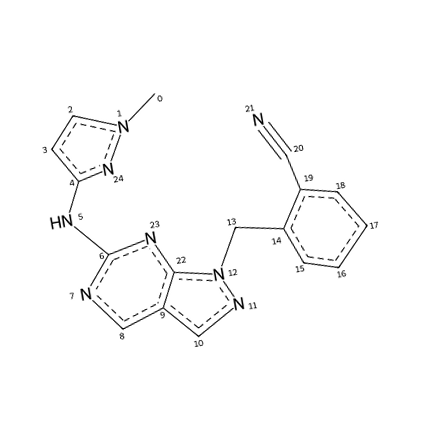 Cn1ccc(Nc2ncc3cnn(Cc4ccccc4C#N)c3n2)n1